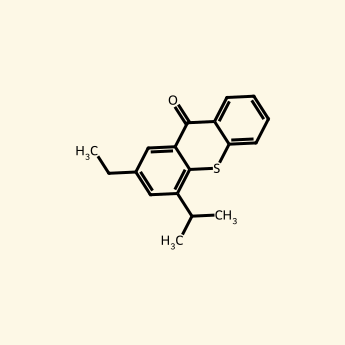 CCc1cc(C(C)C)c2sc3ccccc3c(=O)c2c1